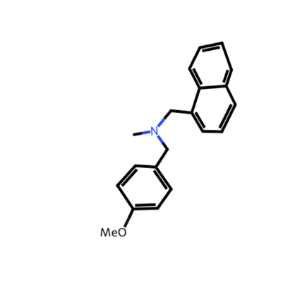 COc1ccc(CN(C)Cc2cccc3ccccc23)cc1